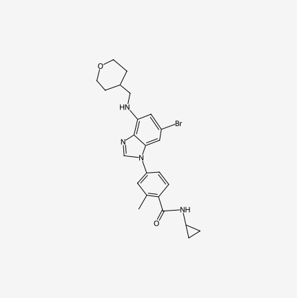 Cc1cc(-n2cnc3c(NCC4CCOCC4)cc(Br)cc32)ccc1C(=O)NC1CC1